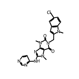 Cn1c(Cn2c(=O)c3c(nc(Nc4ccncn4)n3C)n(C)c2=O)cc2cc(Cl)ccc21